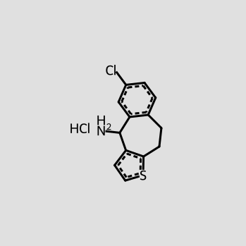 Cl.NC1c2cc(Cl)ccc2CCc2sccc21